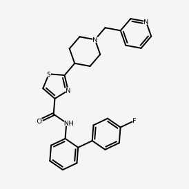 O=C(Nc1ccccc1-c1ccc(F)cc1)c1csc(C2CCN(Cc3cccnc3)CC2)n1